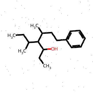 CCC(C)[C](C(C)CCc1ccccc1)C(O)CC